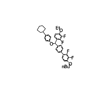 CCCCOc1ccc(-c2ccc(C(Oc3ccc(C4CCCCC4)cc3)c3ccc(OCC)c(F)c3F)cc2)c(F)c1F